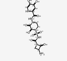 NC1CN(C(=O)NS(=O)(=O)N2CCN(NC(=O)c3cc(=O)c(O)c[nH]3)C(=O)C2=O)C1=O